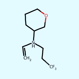 C=C[SiH](CCC(F)(F)F)C1CCCOC1